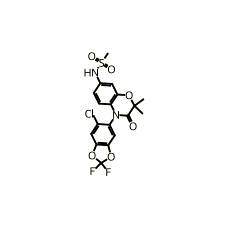 CC1(C)Oc2cc(NS(C)(=O)=O)ccc2N(c2cc3c(cc2Cl)OC(F)(F)O3)C1=O